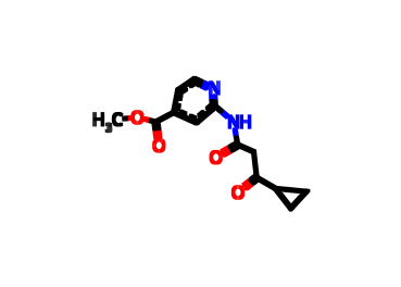 COC(=O)c1ccnc(NC(=O)CC(=O)C2CC2)c1